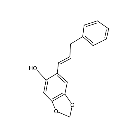 Oc1cc2c(cc1C=CCc1ccccc1)OCO2